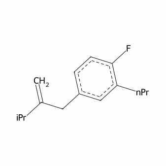 C=C(Cc1ccc(F)c(CCC)c1)C(C)C